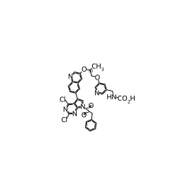 C[C@@H](COc1cncc(CNC(=O)O)c1)Oc1cnc2ccc(-c3cn(S(=O)(=O)Cc4ccccc4)c4nc(Cl)nc(Cl)c34)cc2c1